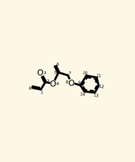 C=CC(=O)OC(=C)COc1ccccc1